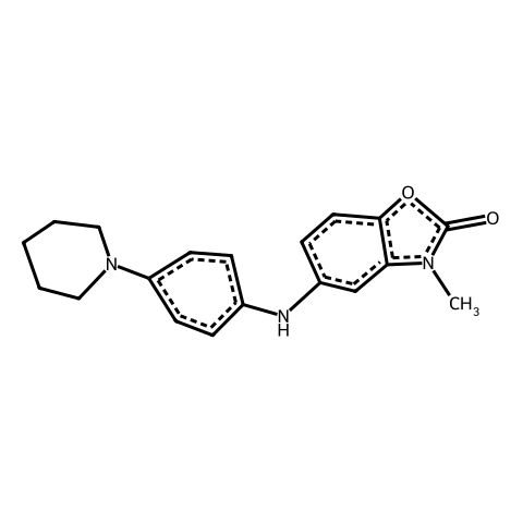 Cn1c(=O)oc2ccc(Nc3ccc(N4CCCCC4)cc3)cc21